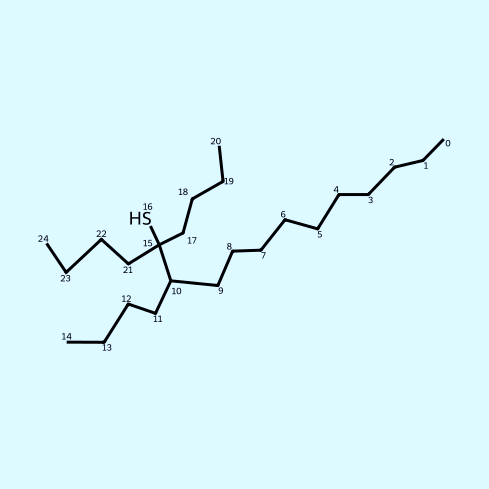 CCCCCCCCCCC(CCCC)C(S)(CCCC)CCCC